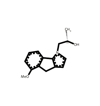 COc1cccc2c1Cc1ccn(C[C@H](C)O)c1-2